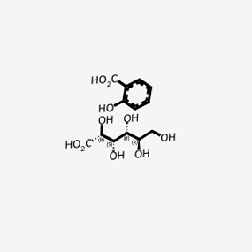 O=C(O)[C@H](O)[C@@H](O)[C@H](O)[C@H](O)CO.O=C(O)c1ccccc1O